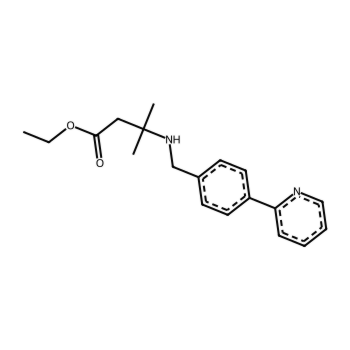 CCOC(=O)CC(C)(C)NCc1ccc(-c2ccccn2)cc1